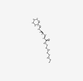 CCOCCOCCOC(=O)C=CC#CCOC1CCCCO1